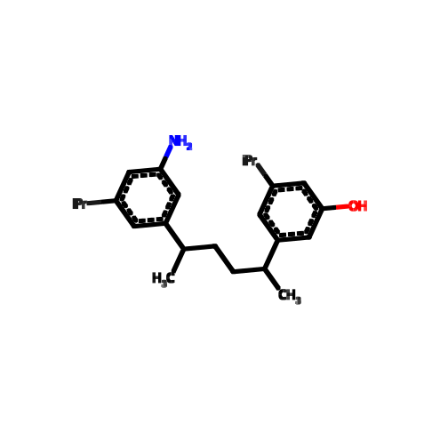 CC(C)c1cc(N)cc(C(C)CCC(C)c2cc(O)cc(C(C)C)c2)c1